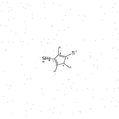 CC1=C(C)C(C)[C]([Ti])=C1C.[SiH4]